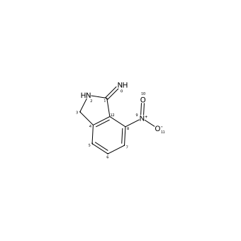 N=C1NCc2cccc([N+](=O)[O-])c21